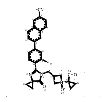 N#Cc1ccc2cc(-c3ccc(C4=NC5(CC5)C(=O)N4CC4C[N+]([O-])(C5(C=O)CC5)C4)c(F)c3)ccc2c1